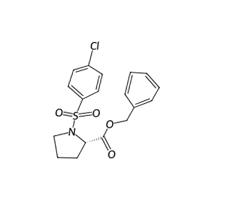 O=C(OCc1ccccc1)[C@@H]1CCCN1S(=O)(=O)c1ccc(Cl)cc1